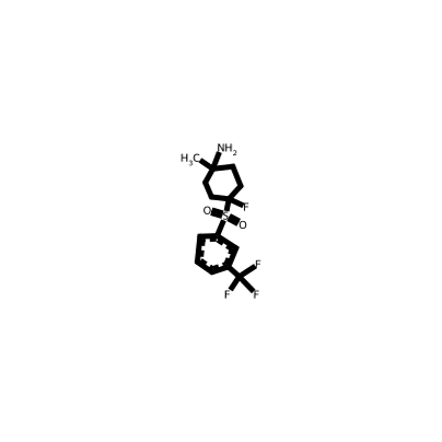 CC1(N)CCC(F)(S(=O)(=O)c2cccc(C(F)(F)F)c2)CC1